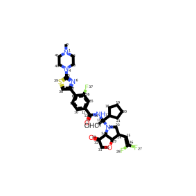 CN1CCN(c2nc(-c3ccc(C(=O)NC(C=O)(C4CCCC4)N4CC(C=C(F)F)C5OCC(=O)C54)cc3F)cs2)CC1